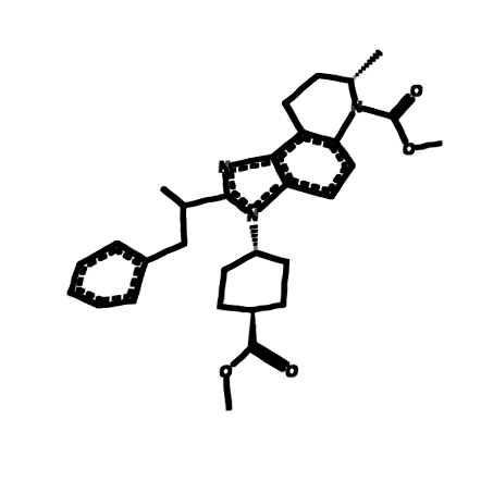 COC(=O)N1c2ccc3c(nc(C(C)Cc4ccccc4)n3[C@H]3CC[C@H](C(=O)OC)CC3)c2CC[C@@H]1C